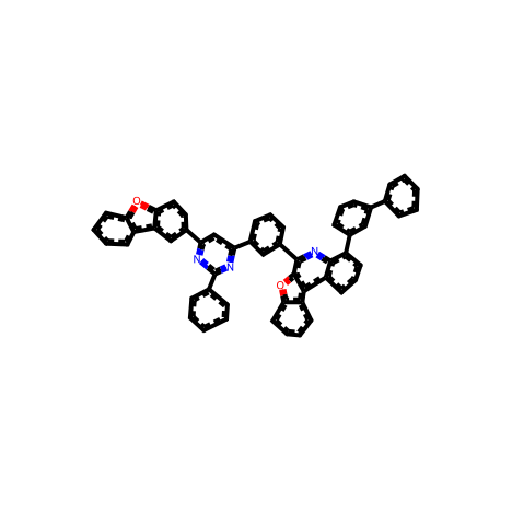 c1ccc(-c2cccc(-c3cccc4c3nc(-c3cccc(-c5cc(-c6ccc7oc8ccccc8c7c6)nc(-c6ccccc6)n5)c3)c3oc5ccccc5c34)c2)cc1